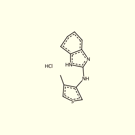 Cc1cscc1Nc1nc2ccccc2[nH]1.Cl